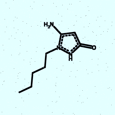 CCCCCn1[nH]c(=O)cc1N